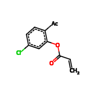 C=CC(=O)Oc1cc(Cl)ccc1C(C)=O